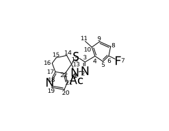 CC(=O)N1N=C(c2cc(F)ccc2C)SC12CCCc1ncccc12